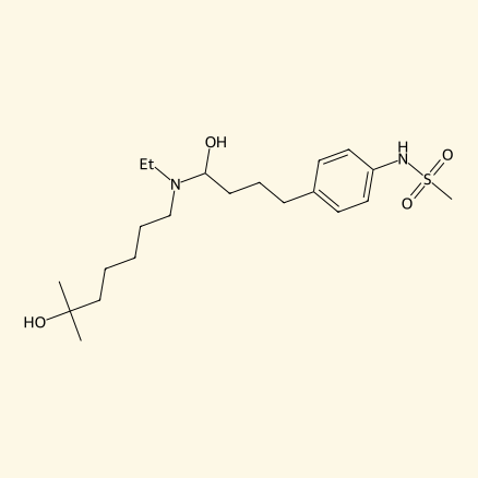 CCN(CCCCCC(C)(C)O)C(O)CCCc1ccc(NS(C)(=O)=O)cc1